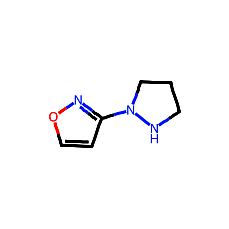 c1cc(N2CCCN2)no1